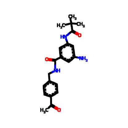 CC(=O)c1ccc(CNC(=O)c2cc(N)cc(NC(=O)C(C)(C)C)c2)cc1